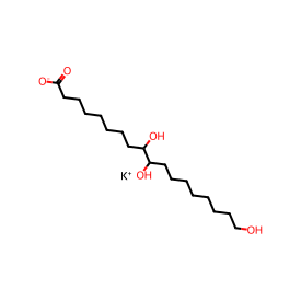 O=C([O-])CCCCCCCC(O)C(O)CCCCCCCCO.[K+]